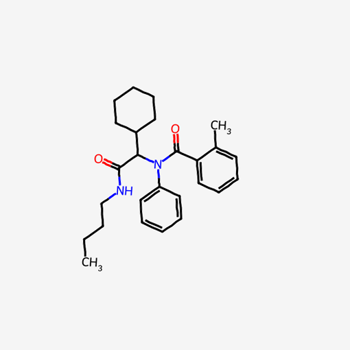 CCCCNC(=O)C(C1CCCCC1)N(C(=O)c1ccccc1C)c1ccccc1